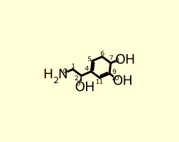 NC[C@H](O)C1=CCC(O)C(O)=C1